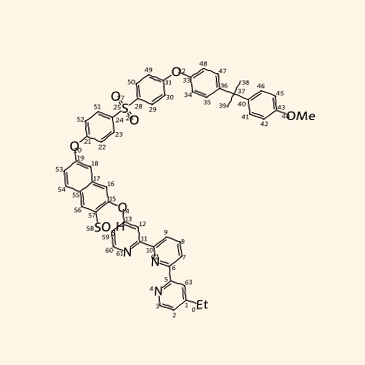 CCc1ccnc(-c2cccc(-c3cc(Oc4cc5cc(Oc6ccc(S(=O)(=O)c7ccc(Oc8ccc(C(C)(C)c9ccc(OC)cc9)cc8)cc7)cc6)ccc5cc4S(=O)(=O)O)ccn3)n2)c1